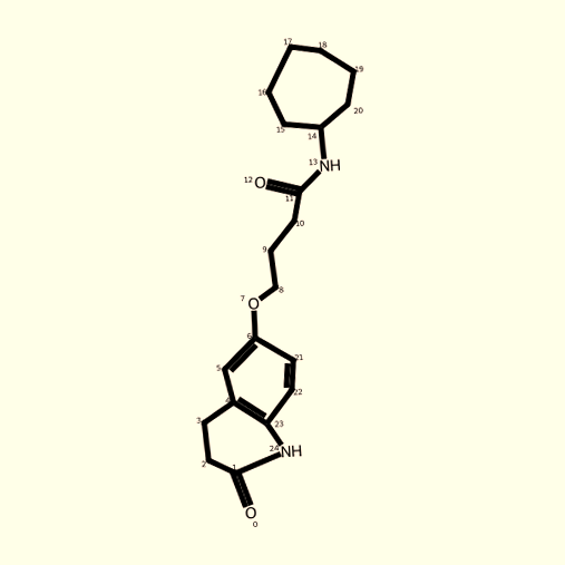 O=C1CCc2cc(OCCCC(=O)NC3CCCCCC3)ccc2N1